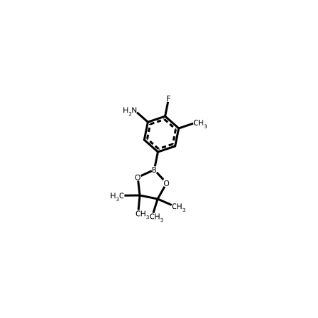 Cc1cc(B2OC(C)(C)C(C)(C)O2)cc(N)c1F